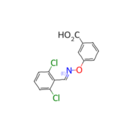 O=C(O)c1cccc(O/N=C/c2c(Cl)cccc2Cl)c1